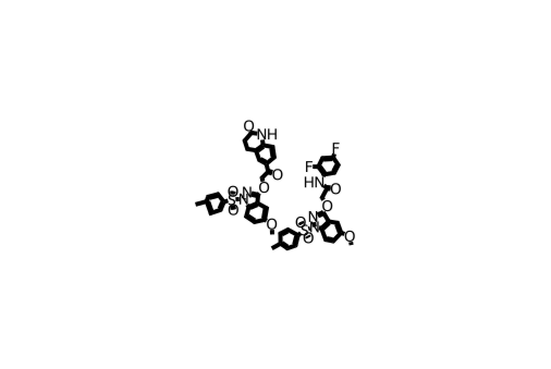 COc1ccc2c(c1)c(OCC(=O)Nc1ccc(F)cc1F)nn2S(=O)(=O)c1ccc(C)cc1.COc1ccc2c(c1)c(OCC(=O)c1ccc3c(c1)CCC(=O)N3)nn2S(=O)(=O)c1ccc(C)cc1